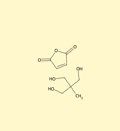 CC(CO)(CO)CO.O=C1C=CC(=O)O1